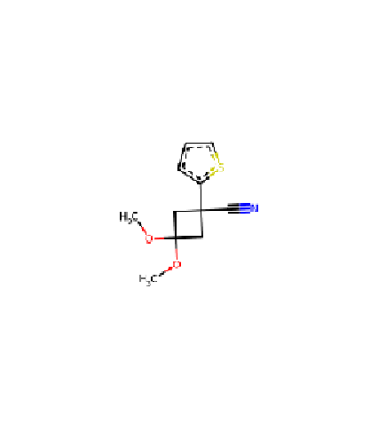 COC1(OC)CC(C#N)(c2cccs2)C1